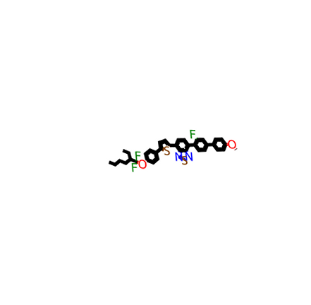 CCCCC(CC)C(F)(F)Oc1ccc(-c2ccc(-c3ccc(-c4ccc(-c5ccc(OC)cc5)cc4F)c4nsnc34)s2)cc1